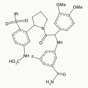 COc1ccc(C(Nc2cc(F)cc(C(N)=O)c2)C(=O)N2CCCC2c2cc(NC(=O)O)ccc2S(=O)(=O)C(C)C)cc1OC